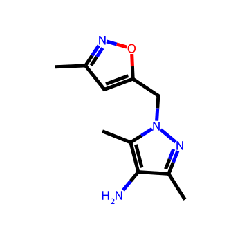 Cc1cc(Cn2nc(C)c(N)c2C)on1